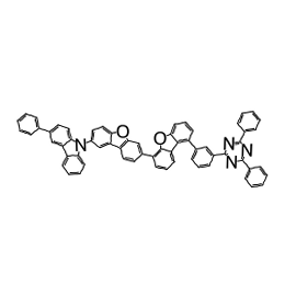 c1ccc(-c2ccc3c(c2)c2ccccc2n3-c2ccc3oc4cc(-c5cccc6c5oc5cccc(-c7cccc(-c8nc(-c9ccccc9)nc(-c9ccccc9)n8)c7)c56)ccc4c3c2)cc1